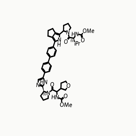 COC(=O)NC(C(=O)N1CCC[C@H]1c1ncc(-c2ccc(-c3ccc(-c4[nH]c(C5CCCN5C(=O)[C@@H](NC(=O)OC)C(C)C)c5c4CCC5)cc3)cc2)[nH]1)C1CCOC1